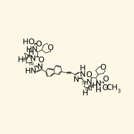 COC(=O)NC(C(=O)N1[C@@H]2C[C@H]2C[C@H]1c1nc(C#Cc2ccc3cc(-c4c[nH]c([C@@H]5C[C@H]6C[C@H]6N5C(=O)C(NC(=O)O)C5CCOCC5)n4)ccc3c2)c[nH]1)C1CCOCC1